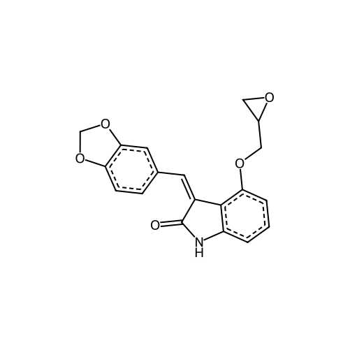 O=C1Nc2cccc(OCC3CO3)c2C1=Cc1ccc2c(c1)OCO2